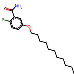 CCCCCCCCCCCOc1ccc(F)c(C(N)=O)c1